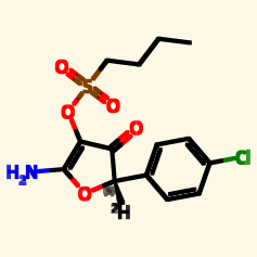 [2H][C@@]1(c2ccc(Cl)cc2)OC(N)=C(OS(=O)(=O)CCCC)C1=O